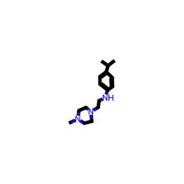 CC(C)c1ccc(NCCN2CCN(C)CC2)cc1